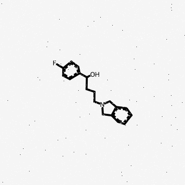 OC(CCCN1Cc2ccccc2C1)c1ccc(F)cc1